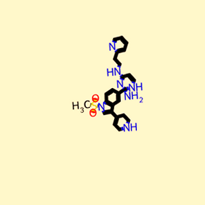 CS(=O)(=O)n1cc(C2=CCNCC2)c2cc(C3(N)N=C(NCCc4ccccn4)C=CN3)ccc21